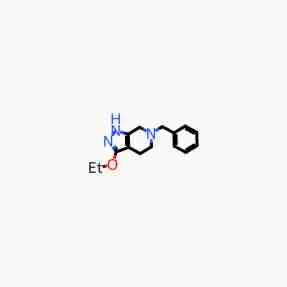 CCOc1n[nH]c2c1CCN(Cc1ccccc1)C2